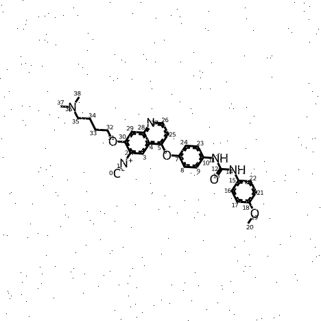 [C-]#[N+]c1cc2c(Oc3ccc(NC(=O)Nc4ccc(OC)cc4)cc3)ccnc2cc1OCCCCN(C)C